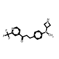 CN(c1ccc(CCC(=O)c2ccnc(C(F)(F)F)c2)cc1)C1CNC1